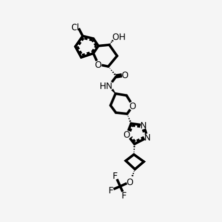 O=C(N[C@@H]1CC[C@@H](c2nnc([C@H]3C[C@@H](OC(F)(F)F)C3)o2)OC1)[C@H]1C[C@@H](O)c2cc(Cl)ccc2O1